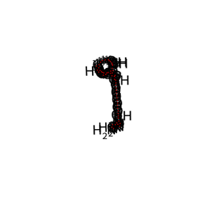 CO[C@H]1C[C@@H]2CC[C@@H](C)[C@@](O)(O2)C(=O)C(=O)N2CCCC[C@H]2C(=O)O[C@H]([C@H](C)C[C@@H]2CC[C@@H](OC(=O)NCCOCCOCCOCCOCCOCCOCCOCCOCCC(=O)NCCCCn3nc(-c4ccc5oc(N)nc5c4)c4c(N)ncnc43)[C@H](OC)C2)CC(=O)[C@H](C)/C=C(\C)[C@@H](O)[C@@H](O)C(=O)[C@H](C)C[C@H](C)/C=C/C=C/C=C/1C